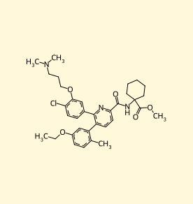 CCOc1ccc(C)c(-c2ccc(C(=O)NC3(C(=O)OC)CCCCC3)nc2-c2ccc(Cl)c(OCCCN(C)C)c2)c1